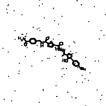 C/C(=N\NC(=O)c1ccc(C(=O)NCc2ccc(C(N)=O)cc2)s1)c1csc(-c2ccc(C(C)(C)C)cc2)c1O